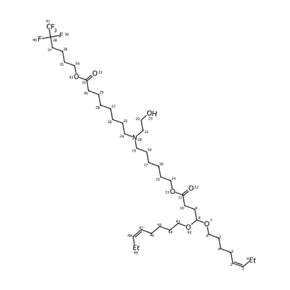 CC/C=C\CCCCOC(CCC(=O)OCCCCCCN(CCO)CCCCCCCC(=O)OCCCCC(F)(F)C(F)(F)F)OCCCC/C=C\CC